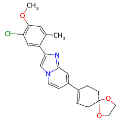 COc1cc(C)c(-c2cn3ccc(C4=CCC5(CC4)OCCO5)cc3n2)cc1Cl